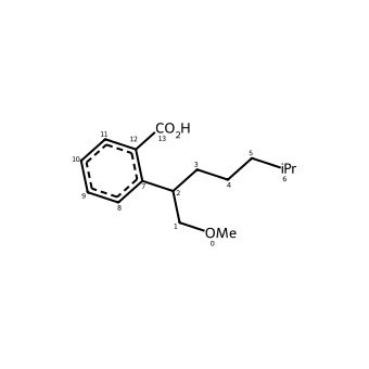 COCC(CCCC(C)C)c1ccccc1C(=O)O